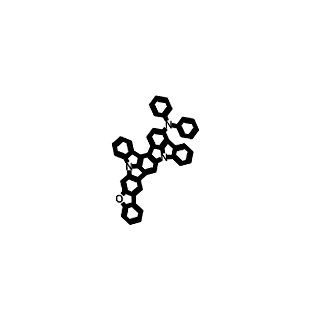 c1ccc(N(c2ccccc2)c2ccc3c4c5c6ccccc6n6c7cc8oc9ccccc9c8cc7c(cc4n4c7ccccc7c2c34)c56)cc1